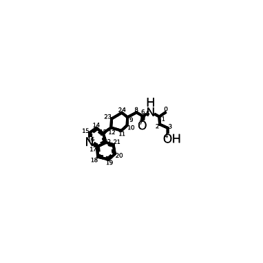 CC(CCO)NC(=O)CC1CCC(c2ccnc3ccccc23)CC1